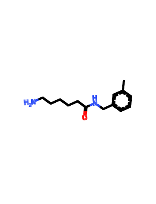 Cc1cccc(CNC(=O)CCCCCN)c1